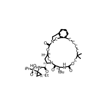 CC[C@@H]1C[C@]1(NC(=O)[C@@H]1C[C@@H]2CN1C(=O)[C@H](C(C)(C)C)NC(=O)OCC(C)(C)CCCCc1cccc3c1CN(C3)C(=O)O2)P(=O)(O)C(C)C